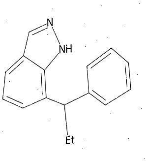 [CH2]CC(c1ccccc1)c1cccc2cn[nH]c12